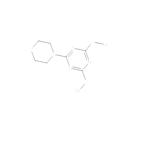 CCOc1nc(OCC)nc(N2CCOCC2)n1